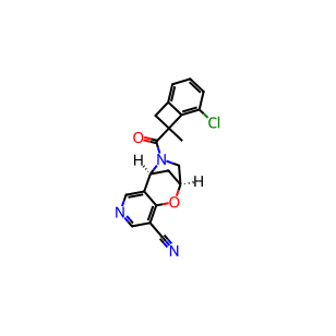 CC1(C(=O)N2C[C@@H]3C[C@H]2c2cncc(C#N)c2O3)Cc2cccc(Cl)c21